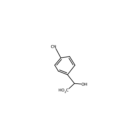 [C-]#[N+]c1ccc(C(O)C(=O)O)cc1